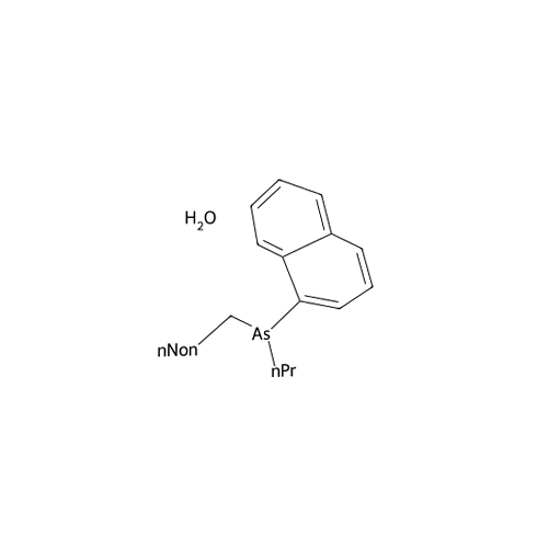 CCCCCCCCCC[As](CCC)c1cccc2ccccc12.O